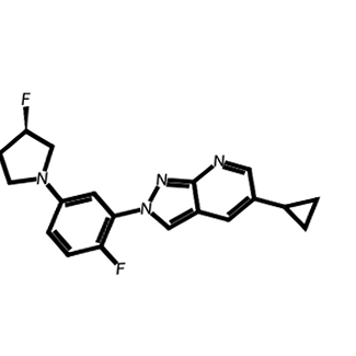 Fc1ccc(N2CC[C@@H](F)C2)cc1-n1cc2cc(C3CC3)cnc2n1